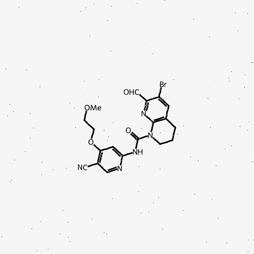 COCCOc1cc(NC(=O)N2CCCc3cc(Br)c(C=O)nc32)ncc1C#N